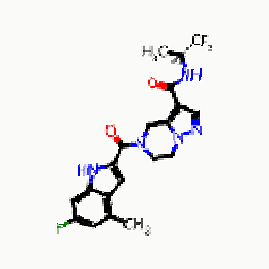 Cc1cc(F)cc2[nH]c(C(=O)N3CCn4ncc(C(=O)N[C@H](C)C(F)(F)F)c4C3)cc12